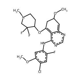 COc1cc(Nc2ncnc3c2=C(OC2CCN(C)CC2(F)F)CC(OC)C=3)c(F)cc1Cl